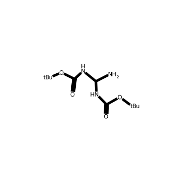 CC(C)(C)OC(=O)NC(N)NC(=O)OC(C)(C)C